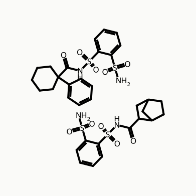 NS(=O)(=O)c1ccccc1S(=O)(=O)NC(=O)C1(c2ccccc2)CCCCC1.NS(=O)(=O)c1ccccc1S(=O)(=O)NC(=O)C1CC2CCC1C2